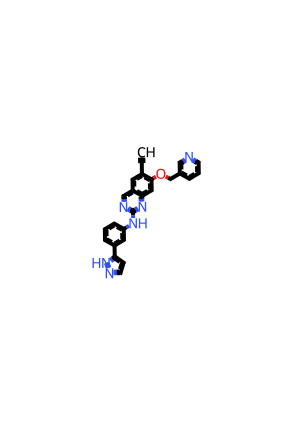 C#Cc1cc2cnc(Nc3cccc(-c4ccn[nH]4)c3)nc2cc1OCc1cccnc1